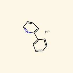 [Ir+3].c1ccc(-c2ccccn2)cc1